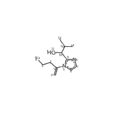 C=C(CCF)n1ccnc1C(O)C(C)C